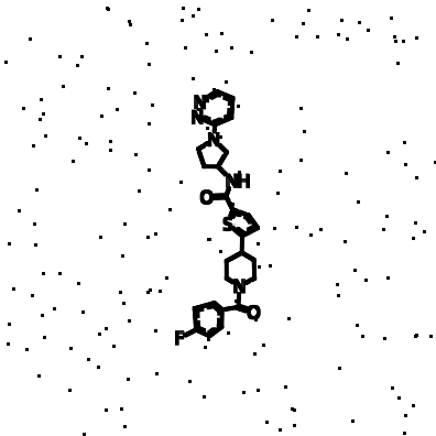 O=C(NC1CCN(c2cccnn2)C1)c1ccc(C2CCN(C(=O)c3ccc(F)cc3)CC2)s1